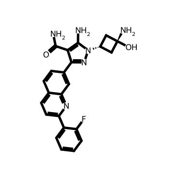 NC(=O)c1c(-c2ccc3ccc(-c4ccccc4F)nc3c2)nn([C@H]2C[C@@](N)(O)C2)c1N